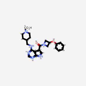 O=C(O)N1CCC(CNc2ncnc3[nH]cc(C(=O)N4CC(Oc5ccccc5)C4)c23)CC1